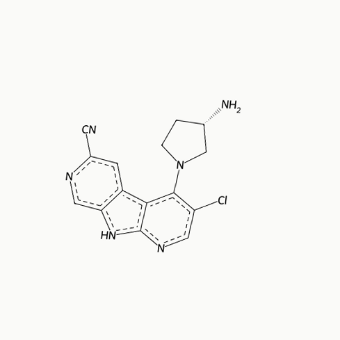 N#Cc1cc2c(cn1)[nH]c1ncc(Cl)c(N3CC[C@H](N)C3)c12